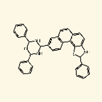 c1ccc(C2NC(c3ccccc3)NC(c3ccc4c(ccc5ccc6c(c54)SC(c4ccccc4)N6)c3)N2)cc1